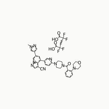 Cn1cc(-c2cc(-c3ccc(N4CCN(C(=O)c5ccccc5N5CCOCC5)CC4)nc3)c3c(C#N)cnn3c2)cn1.O=C(O)C(F)(F)F.O=C(O)C(F)(F)F